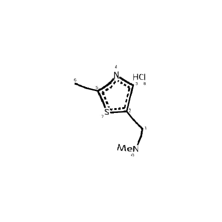 CNCc1cnc(C)s1.Cl